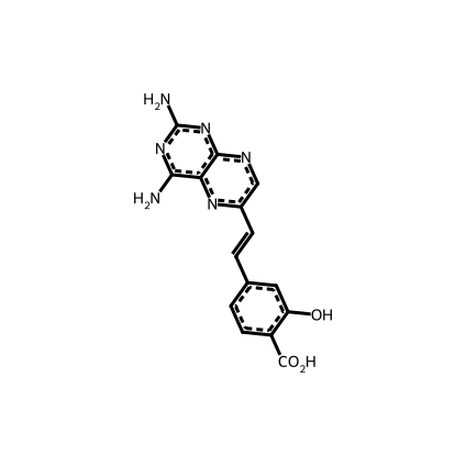 Nc1nc(N)c2nc(C=Cc3ccc(C(=O)O)c(O)c3)cnc2n1